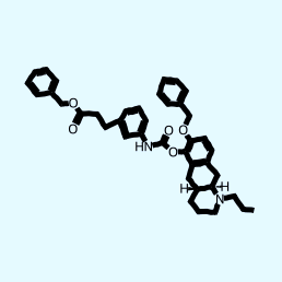 CCCN1CCC[C@@H]2Cc3c(ccc(OCc4ccccc4)c3OC(=O)Nc3cccc(CCC(=O)OCc4ccccc4)c3)C[C@H]21